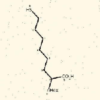 CCCCCCC(CCCCCCS)C(=O)O